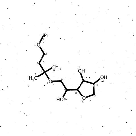 CC(C)OCCC(C)(C)OCC(O)C1OCC(O)C1O